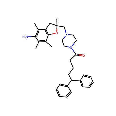 Cc1c(C)c2c(c(C)c1N)CC(C)(CN1CCN(C(=O)CCCC(c3ccccc3)c3ccccc3)CC1)O2